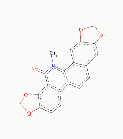 Cn1c(=O)c2c3c(ccc2c2ccc4cc5c(cc4c21)OCO5)OCO3